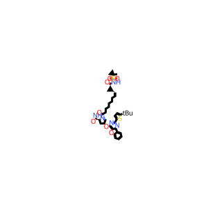 CC(C)(C)c1ccc(-c2nc(O[C@@H]3C[C@@H](C(N)=O)N(C(=O)CCCCCC/C=C\[C@@H]4C[C@@H]4C(=O)NS(=O)(=O)C4(C)CC4)C3)c3oc4ccccc4c3n2)s1